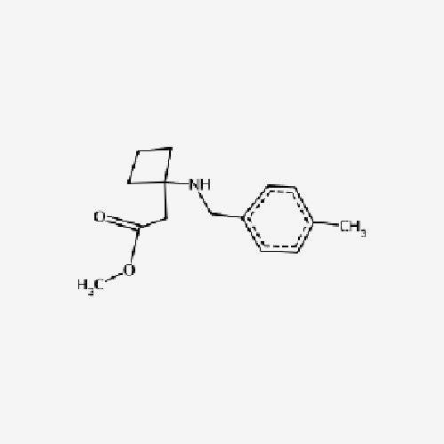 COC(=O)CC1(NCc2ccc(C)cc2)CCC1